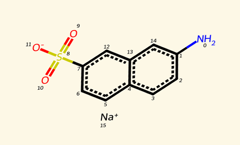 Nc1ccc2ccc(S(=O)(=O)[O-])cc2c1.[Na+]